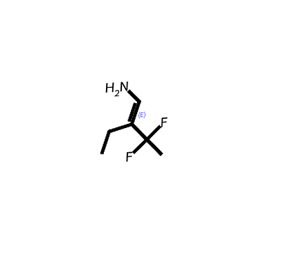 CC/C(=C\N)C(C)(F)F